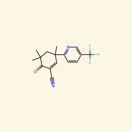 CC1(C)CC(C)(c2ccc(C(F)(F)F)cn2)C=C(C#N)C1=O